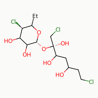 CCC1O[C@H](O[C@@](O)(CCl)C(O)CC(O)CCCl)C(O)C(O)[C@H]1Cl